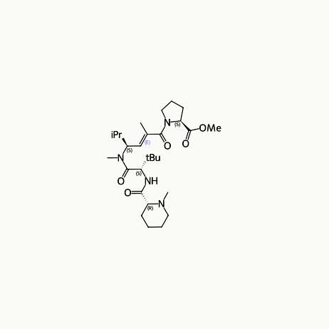 COC(=O)[C@@H]1CCCN1C(=O)/C(C)=C/[C@H](C(C)C)N(C)C(=O)[C@@H](NC(=O)[C@H]1CCCCN1C)C(C)(C)C